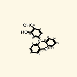 O=Cc1ccc(N2c3ccccc3Oc3ccccc32)cc1O